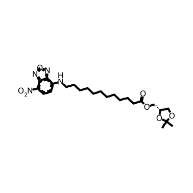 CC1(C)OC[C@@H](COC(=O)CCCCCCCCCCCNc2ccc([N+](=O)[O-])c3nonc23)O1